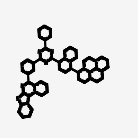 c1ccc(-c2nc(-c3cccc(-c4nc5sc6ccccc6c5c5ccccc45)c3)nc(-c3ccc(-c4ccc5ccc6cccc7ccc4c5c67)c4ccccc34)n2)cc1